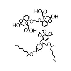 CCCCCCC(C)OCCN1CC[N+](CCOC(C)CCCCCC)(Cc2ccc(OC)c(OC)c2OC)CC1.O=C(O)CN(CC(=O)O)c1ccccc1OCCOc1ccccc1N(CC(=O)O)CC(=O)O